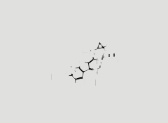 Cc1nc2oc3c(c2c(C)c1Cl)=NCN(C)C=3NC1CC1(C)C